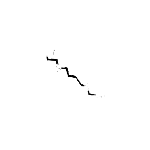 OCCSCCCCSCO